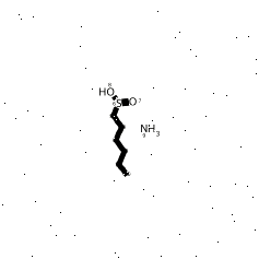 CCCCCCS(=O)O.N